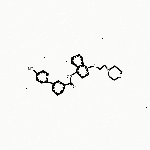 N#Cc1ccc(-c2cccc(C(=O)Nc3ccc(OCCN4CCOCC4)c4ccccc34)c2)cc1